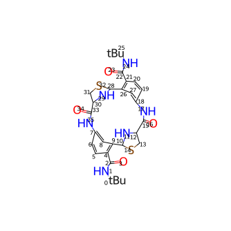 CC(C)(C)NC(=O)c1ccc2cc1C1NC(CS1)C(=O)Nc1ccc(C(=O)NC(C)(C)C)c(c1)C1NC(CS1)C(=O)N2